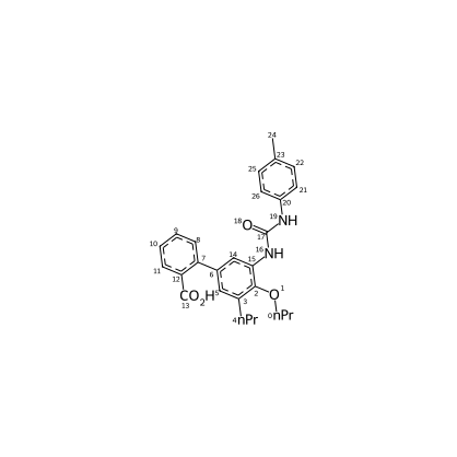 CCCOc1c(CCC)cc(-c2ccccc2C(=O)O)cc1NC(=O)Nc1ccc(C)cc1